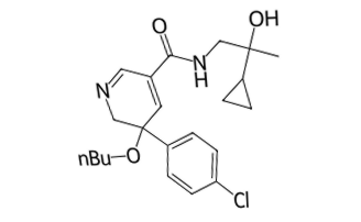 CCCCOC1(c2ccc(Cl)cc2)C=C(C(=O)NCC(C)(O)C2CC2)C=NC1